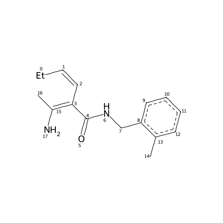 CC/C=C\C(C(=O)NCc1ccccc1C)=C(/C)N